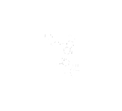 C[C@@]1(O)C(=O)OCc2c1cc1n(c2=O)Cc2c-1nc1cc3c(cc1c2CNC(=O)CN)OCO3